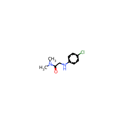 CN(C)C(=O)CNc1ccc(Cl)cc1